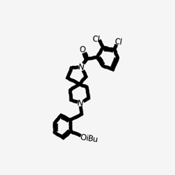 CC(C)COc1ccccc1CN1CCC2(CC1)CCN(C(=O)c1cccc(Cl)c1Cl)C2